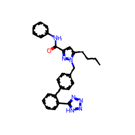 CCCCc1cc(C(=O)Nc2ccccc2)nn1Cc1ccc(-c2ccccc2-c2nnn[nH]2)cc1